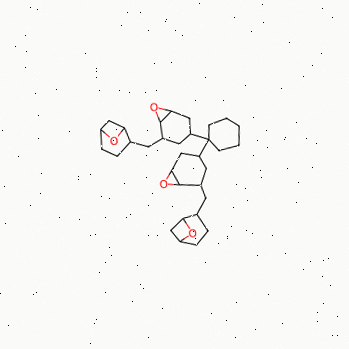 C1CCC(C2CC(CC3CCC4CC3O4)C3OC3C2)(C2CC(CC3CCC4CC3O4)C3OC3C2)CC1